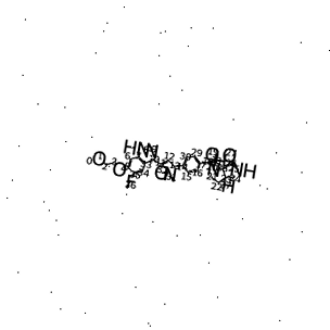 COCCOc1cc2[nH]nc(-c3cc(-c4ccc(C(=O)N5CC[C@@H]6CNC(=O)[C@@H]65)cc4)no3)c2cc1F